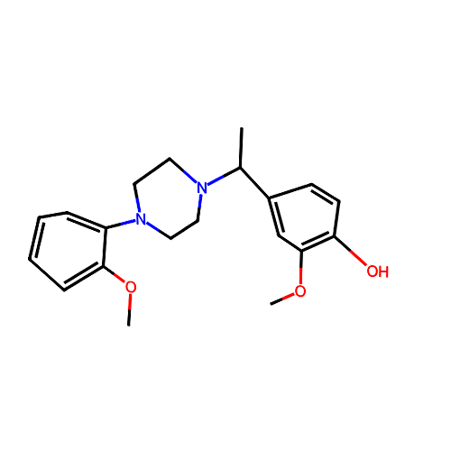 COc1cc(C(C)N2CCN(c3ccccc3OC)CC2)ccc1O